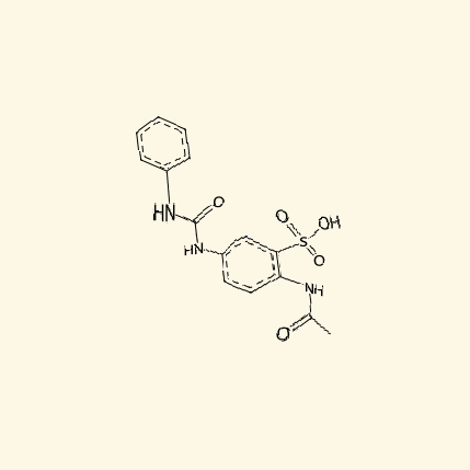 CC(=O)Nc1ccc(NC(=O)Nc2ccccc2)cc1S(=O)(=O)O